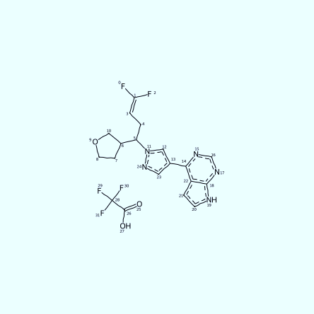 FC(F)=CCC(C1CCOC1)n1cc(-c2ncnc3[nH]ccc23)cn1.O=C(O)C(F)(F)F